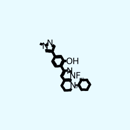 Cn1cc(-c2ccc(-c3cc4c(nn3)N([C@@H]3CCCC[C@@H]3F)CCC4)c(O)c2)cn1